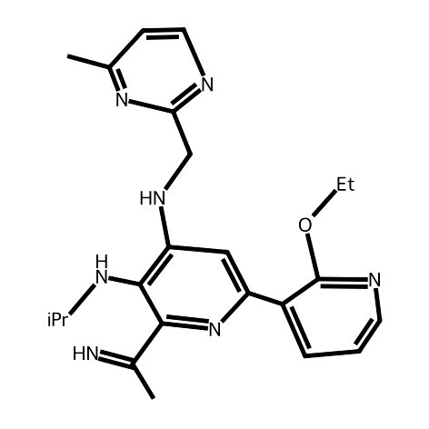 CCOc1ncccc1-c1cc(NCc2nccc(C)n2)c(NC(C)C)c(C(C)=N)n1